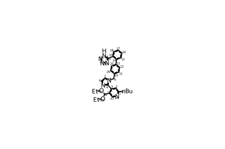 CCCCc1cc(-c2nccn2Cc2ccc(-c3ccccc3-c3nnn[nH]3)cc2)c(C(OCC)OCC)cn1